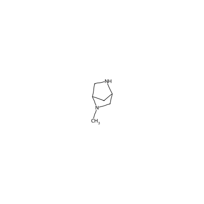 CN1CC2CC1CN2